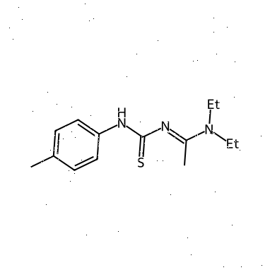 CCN(CC)/C(C)=N/C(=S)Nc1ccc(C)cc1